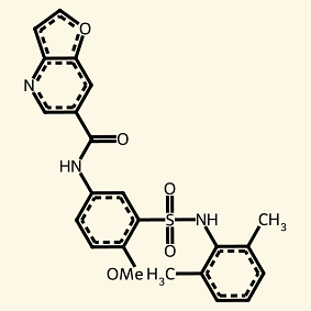 COc1ccc(NC(=O)c2cnc3ccoc3c2)cc1S(=O)(=O)Nc1c(C)cccc1C